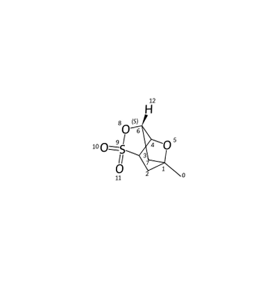 CC12CC3C(O1)[C@H](C2)OS3(=O)=O